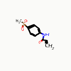 C=CC(=O)Nc1ccc(S(C)(=O)=O)cc1